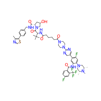 Cc1ncsc1-c1ccc(CNC(=O)[C@@H]2C[C@@H](O)CN2C(=O)C(NC(=O)CCCCC(=O)N2CCN(c3ncc(-c4cc(NC(=O)c5ccc(F)cc5C(F)(F)F)c(N5C[C@@H](C)N(C)[C@@H](C)C5)cc4F)cn3)CC2)C(C)(C)C)cc1